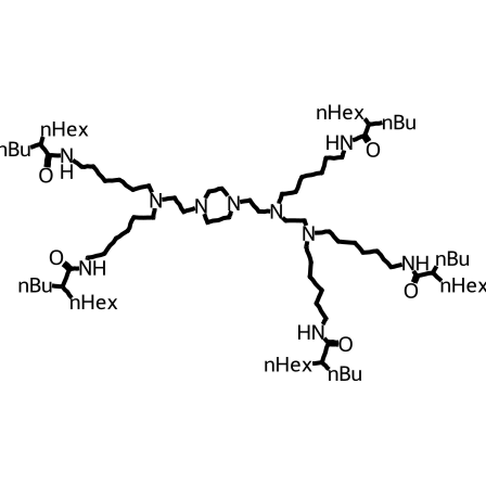 CCCCCCC(CCCC)C(=O)NCCCCCCN(CCCCCCNC(=O)C(CCCC)CCCCCC)CCN(CCCCCCNC(=O)C(CCCC)CCCCCC)CCN1CCN(CCN(CCCCCCNC(=O)C(CCCC)CCCCCC)CCCCCCNC(=O)C(CCCC)CCCCCC)CC1